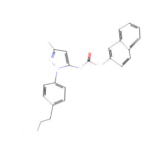 CCOC(=O)CCc1ccc(-n2nc(C(C)(C)C)cc2NC(=O)Oc2ccc3ccccc3c2)cc1